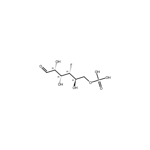 O=C[C@H](O)[C@@H](O)[C@H](F)[C@H](O)COP(=O)(O)O